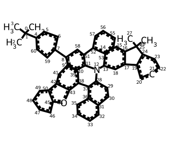 CC(C)(C)c1ccc(-c2ccc(N(c3ccc4c(c3)-c3ccccc3C4(C)C)c3ccc4ccccc4c3-c3cccc4c3oc3ccccc34)c(-c3ccccc3)c2)cc1